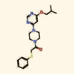 CC(C)COc1cc(N2CCN(C(=O)CSc3ccccc3)CC2)ncn1